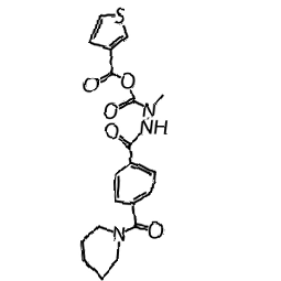 CN(NC(=O)c1ccc(C(=O)N2CCCCC2)cc1)C(=O)OC(=O)c1ccsc1